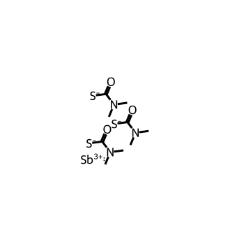 CN(C)C(=O)[S-].CN(C)C(=O)[S-].CN(C)C(=O)[S-].[Sb+3]